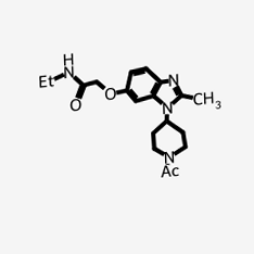 CCNC(=O)COc1ccc2nc(C)n(C3CCN(C(C)=O)CC3)c2c1